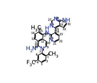 Cc1ccc(C(F)(F)F)cc1N1C=Cc2c(ccc(C)c2Nc2ncccc2-c2ncnc3[nH]ccc23)C1N